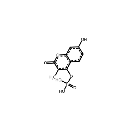 Cc1c(OP(=O)(O)O)c2ccc(O)cc2oc1=O